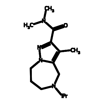 Cc1c(C(=O)N(C)C)nn2c1CN(C(C)C)CCC2